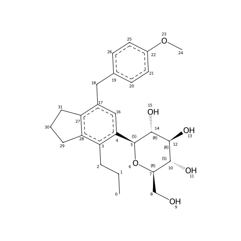 CCCc1c([C@@H]2O[C@H](CO)[C@@H](O)[C@H](O)[C@H]2O)cc(Cc2ccc(OC)cc2)c2c1CCC2